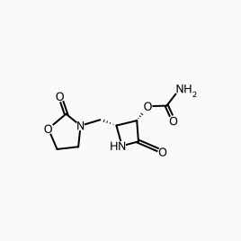 NC(=O)O[C@@H]1C(=O)N[C@@H]1CN1CCOC1=O